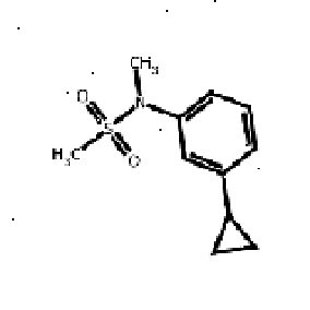 CN(c1cccc(C2CC2)c1)S(C)(=O)=O